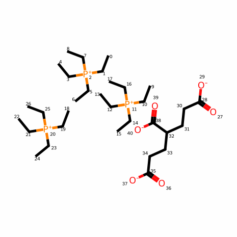 CC[P+](CC)(CC)CC.CC[P+](CC)(CC)CC.CC[P+](CC)(CC)CC.O=C([O-])CCC(CCC(=O)[O-])C(=O)[O-]